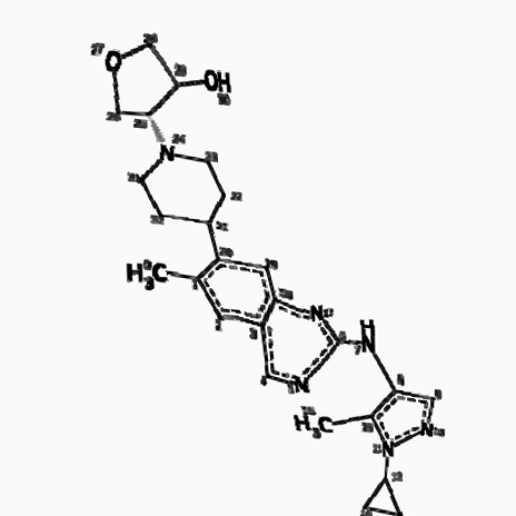 Cc1cc2cnc(Nc3cnn(C4CC4)c3C)nc2cc1C1CCN([C@@H]2COCC2O)CC1